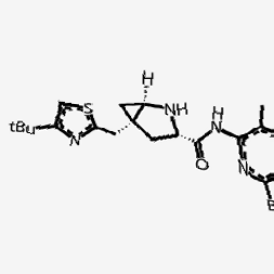 Cc1ccc(Br)nc1NC(=O)[C@@H]1C[C@@]2(Cc3nc(C(C)(C)C)cs3)C[C@H]2N1